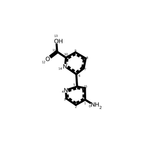 Nc1ccnc(-c2cccc(C(=O)O)n2)c1